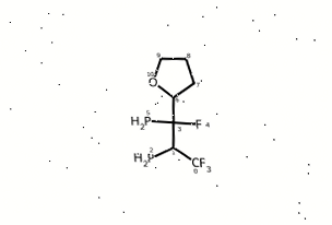 FC(F)(F)C(P)C(F)(P)C1CCCO1